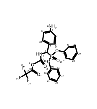 Nc1ccc(C(NC(=O)OC(=O)C(F)(F)F)P(=O)(Oc2ccccc2)Oc2ccccc2)cc1